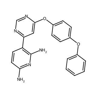 Nc1ccc(-c2cc(Oc3ccc(Oc4ccccc4)cc3)ncn2)c(N)n1